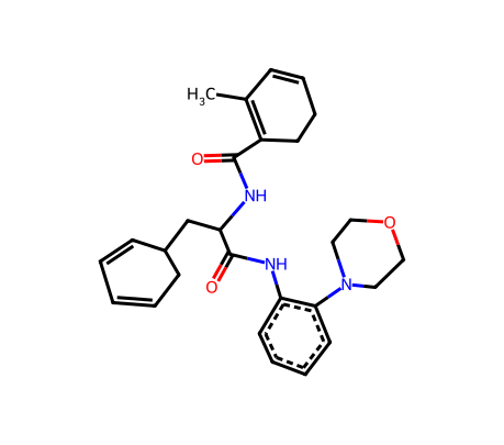 CC1=C(C(=O)NC(CC2C=CC=CC2)C(=O)Nc2ccccc2N2CCOCC2)CCC=C1